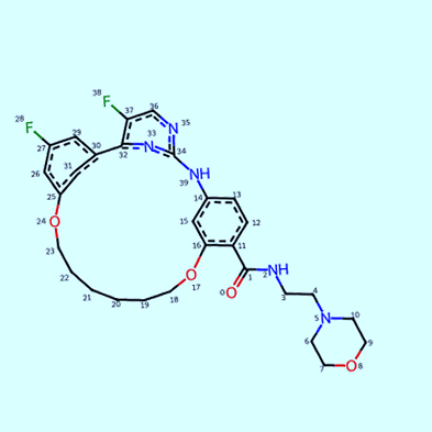 O=C(NCCN1CCOCC1)c1ccc2cc1OCCCCCCOc1cc(F)cc(c1)-c1nc(ncc1F)N2